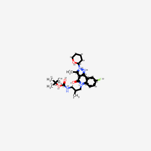 Cc1c2c(=O)n(CC(C)CNC(=O)OC(C)(C)C)c3ccc(F)cc3c2nn1C1CCCCO1